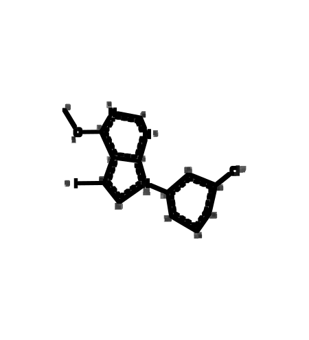 COc1ncnc2c1c(I)cn2-c1cccc(Cl)c1